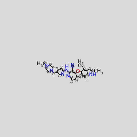 CCC1=C2C=C(C)NC2CC=C1O/C1=C(C#N)/C(Nc2ccc(CN3CCN(C)CC3)cn2)=N\C=C\CC1C